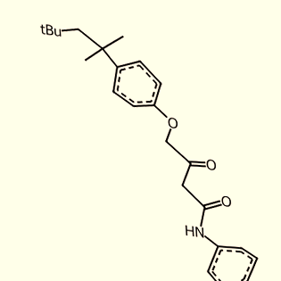 CC(C)(C)CC(C)(C)c1ccc(OCC(=O)CC(=O)Nc2ccccc2)cc1